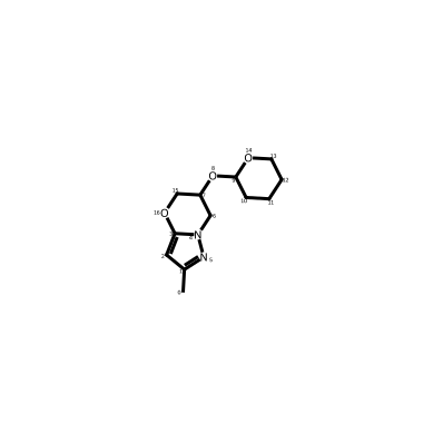 Cc1cc2n(n1)CC(OC1CCCCO1)CO2